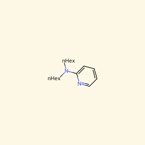 CCCCCCN(CCCCCC)c1ccccn1